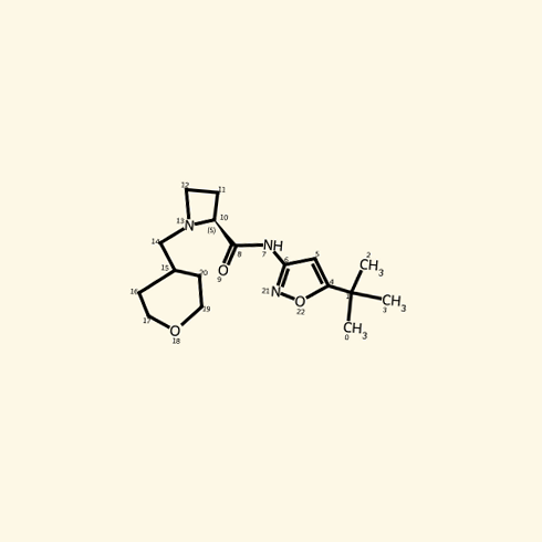 CC(C)(C)c1cc(NC(=O)[C@@H]2CCN2CC2CCOCC2)no1